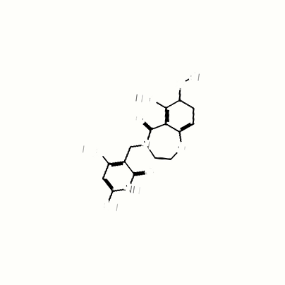 COC1CC=C2OCCN(Cc3c(C)cc(C)[nH]c3=O)C(=O)C2=C1C